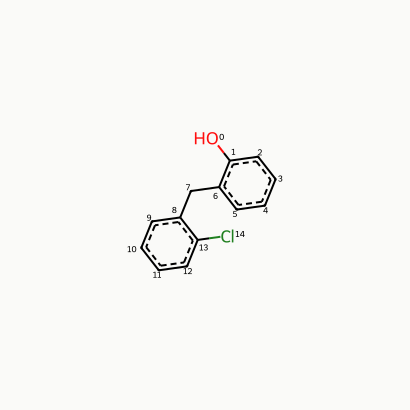 Oc1ccccc1Cc1ccccc1Cl